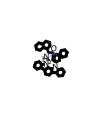 N/C(=C1/Oc2ccc3ccccc3c2/C1=N/Cn1c2ccccc2c2ccc3c4ccccc4n(-c4ccccc4)c3c21)c1ccccc1